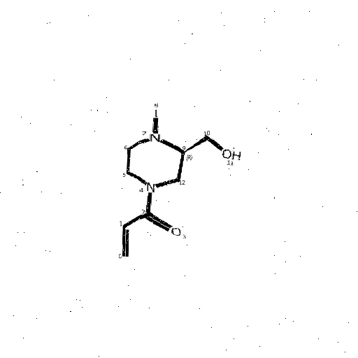 C=CC(=O)N1CCN(I)[C@@H](CO)C1